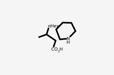 C1CCNCC1.CCCCCCC(C)CC(=O)O